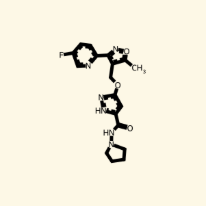 Cc1onc(-c2ccc(F)cn2)c1COc1cc(C(=O)NN2CCCC2)[nH]n1